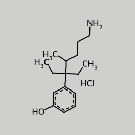 CCC(CC)(c1cccc(O)c1)C(C)CCCN.Cl